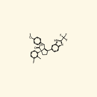 COc1ccc(CC2=C(c3ccc4nc(C(F)(F)F)[nH]c4c3)CC[C@@]2(C(=O)O)c2cccc(F)c2C)cc1